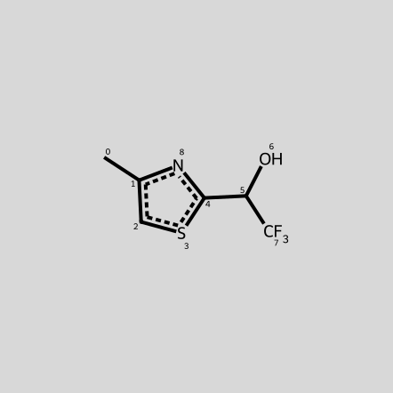 Cc1csc(C(O)C(F)(F)F)n1